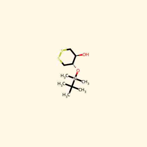 CC(C)(C)[Si](C)(C)O[C@@H]1CSSC[C@H]1O